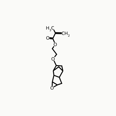 C=C(C)C(=O)OCCOC1CC2CC1C1C2CC2OC21